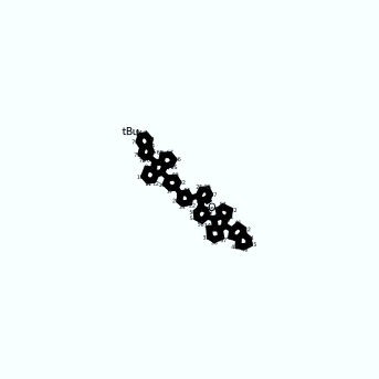 CC(C)(C)c1ccc2cc(-c3c4ccccc4c(-c4ccc(-c5cccc(-c6cccc7oc8c(-c9c%10ccccc%10c(-c%10ccc%11ccccc%11c%10)c%10ccccc9%10)cccc8c67)c5)cc4)c4ccccc34)ccc2c1